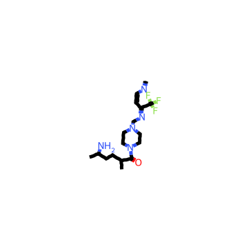 C=N/C=C\C(=N/CN1CCN(C(=O)C(C)CCC(C)N)CC1)C(F)(F)F